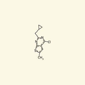 Cc1cc2c(Cl)nc(CC3CC3)nc2s1